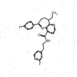 CCC1CCC(c2ccc(F)cc2)=Nc2c(C(=O)NCCc3ccnc(F)c3)ccnc21